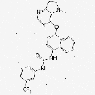 Cn1ccc2ncnc(Oc3ccc(NC(=O)Nc4cccc(C(F)(F)F)c4)c4ccccc34)c21